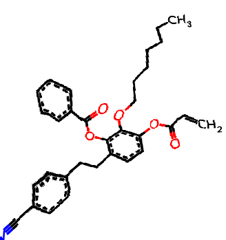 C=CC(=O)Oc1ccc(CCc2ccc(C#N)cc2)c(OC(=O)c2ccccc2)c1OCCCCCCC